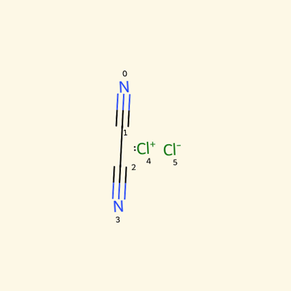 N#CC#N.[Cl+].[Cl-]